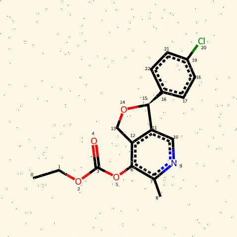 CCOC(=O)Oc1c(C)ncc2c1CO[C@H]2c1ccc(Cl)cc1